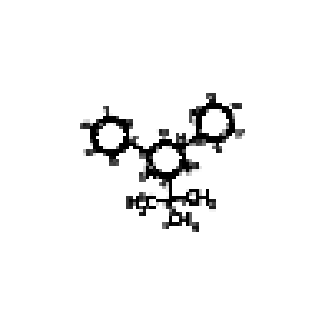 CC(C)(C)c1nc(-c2ccccc2)cc(-c2ccccn2)n1